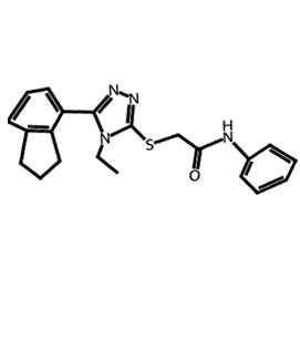 CCn1c(SCC(=O)Nc2ccccc2)nnc1-c1cccc2c1CCC2